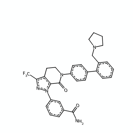 NC(=O)c1cccc(-n2nc(C(F)(F)F)c3c2C(=O)N(c2ccc(-c4ccccc4CN4CCCC4)cc2)CC3)c1